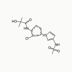 CC(C)(O)C(=O)Nc1ccc([SH]2C=CC(NS(C)(=O)=O)=C2)cc1Cl